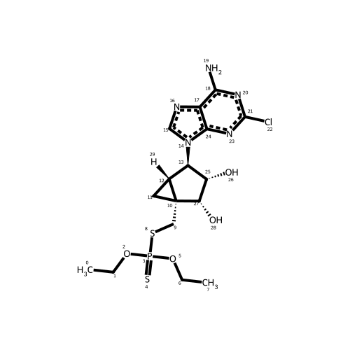 CCOP(=S)(OCC)SC[C@]12C[C@@H]1[C@@H](n1cnc3c(N)nc(Cl)nc31)[C@H](O)[C@@H]2O